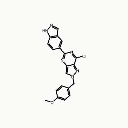 COc1ccc(Cn2cc3nc(-c4ccc5[nH]ncc5c4)nc(Cl)c3n2)cc1